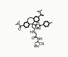 C=C(c1ccc2c(c1)CCc1cc(C(=O)N(C)C)ccc1C2(CCNCC(=O)NC(C#N)C[C@@H](C)CC)c1nnc(-c2ccc(C)cc2)o1)N(C)C